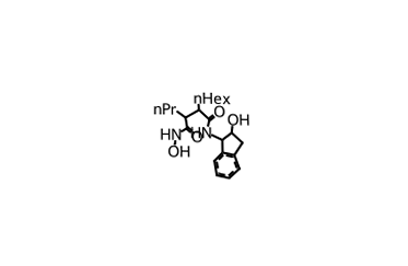 CCCCCCC(C(=O)NC1c2ccccc2CC1O)C(CCC)C(=O)NO